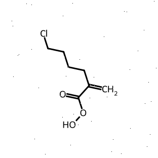 C=C(CCCCCl)C(=O)OO